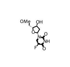 COC[C@H]1O[C@@H](n2cc(F)c(=O)[nH]c2=O)C[C@@H]1O